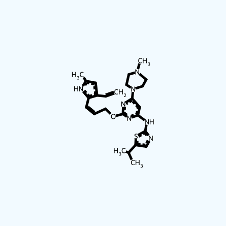 C=Cc1cc(C)[nH]c1/C=C\COc1nc(Nc2ncc(C(C)C)s2)cc(N2CCN(C)CC2)n1